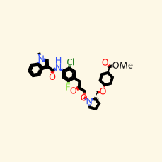 COC(=O)[C@H]1CC[C@H](OC[C@@H]2CCCN2OCC(=O)Cc2cc(Cl)c(NC(=O)c3cn(C)c4ccccc34)cc2F)CC1